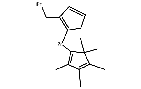 CC1=C(C)C(C)(C)[C]([Zr][C]2=C(CC(C)C)C=CC2)=C1C